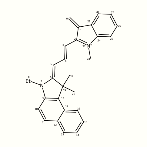 C=C1C(/C=C/C=C2/N(CC)c3ccc4ccccc4c3C2(C)C)=[N+](C)c2ccccc21